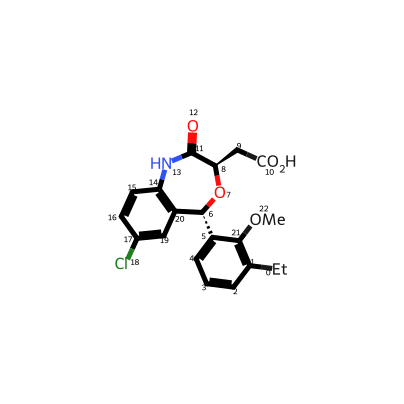 CCc1cccc([C@H]2O[C@H](CC(=O)O)C(=O)Nc3ccc(Cl)cc32)c1OC